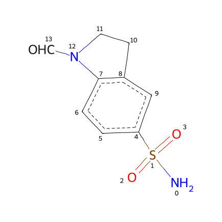 NS(=O)(=O)c1ccc2c(c1)CCN2C=O